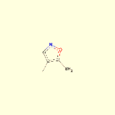 Bc1oncc1C